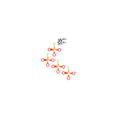 O=P([O-])([O-])F.O=P([O-])([O-])F.O=P([O-])([O-])F.O=P([O-])([O-])F.[Sn+4].[W+4]